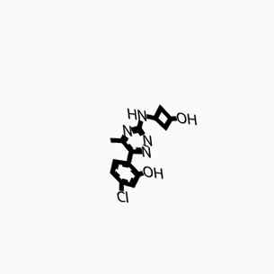 Cc1nc(NC2CC(O)C2)nnc1-c1ccc(Cl)cc1O